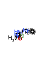 Cn1ncc(NCCN2CCN(c3ccccc3)CC2)c(Cl)c1=O